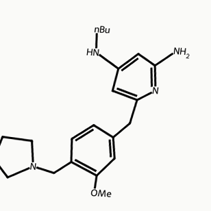 CCCCNc1cc(N)nc(Cc2ccc(CN3CCCC3)c(OC)c2)c1